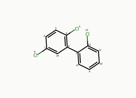 Clc1ccc(Cl)c(-c2ccccc2Cl)c1